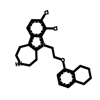 Clc1ccc2c3c(n(CCOc4cccc5c4CCCC5)c2c1Cl)CCNCC3